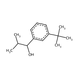 CC(C)C(O)c1cccc(C(C)(C)C)c1